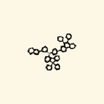 c1ccc(-c2c(-c3ccccc3)c3cc(-c4ccc(N(c5cccc(-c6ccc7ccccc7c6)c5)c5cccc6c5-c5ccccc5C6(c5ccccc5)c5ccccc5)cc4)ccc3c3ccccc23)cc1